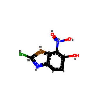 O=[N+]([O-])c1c(O)ccc2nc(Br)sc12